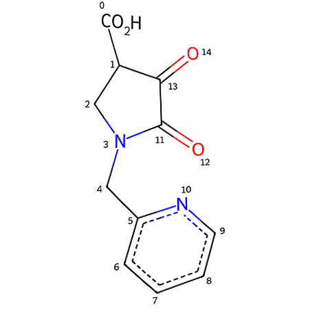 O=C(O)C1CN(Cc2ccccn2)C(=O)C1=O